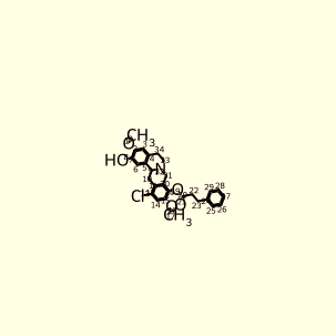 COc1cc2c(cc1O)C1Cc3c(Cl)cc(OC)c(OC(=O)CCc4ccccc4)c3CN1CC2